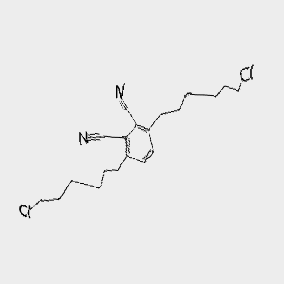 N#Cc1c(CCCCCCCl)ccc(CCCCCCCl)c1C#N